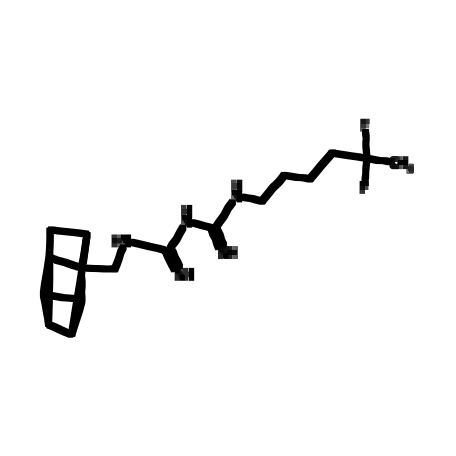 CC(F)(F)CCCCNC(=N)NC(=N)NCC12C3C4C5C3C1C5C42